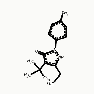 CCc1[nH]n(-c2ccc(C)cc2)c(=O)c1C(C)(C)C